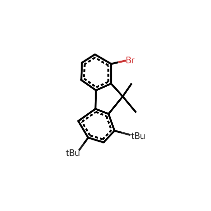 CC(C)(C)c1cc2c(c(C(C)(C)C)c1)C(C)(C)c1c(Br)cccc1-2